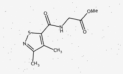 COC(=O)CNC(=O)c1snc(C)c1C